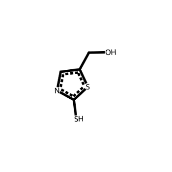 OCc1cnc(S)s1